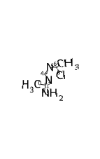 C/C(N)=N\C=N/C(C)Cl